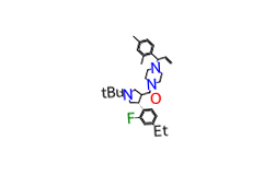 C=CC(c1ccc(C)cc1C)N1CCN(C(=O)C2CN(C(C)(C)C)C[C@H]2c2ccc(CC)cc2F)CC1